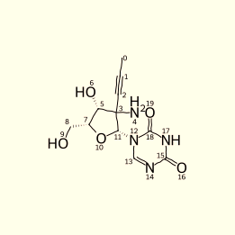 CC#CC1(N)[C@@H](O)[C@@H](CO)O[C@H]1n1cnc(=O)[nH]c1=O